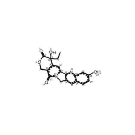 CC[C@@]1(O)C(=O)OCc2c1cc1n(c2=O)Cc2cc3ccc(O)cc3nc2-1